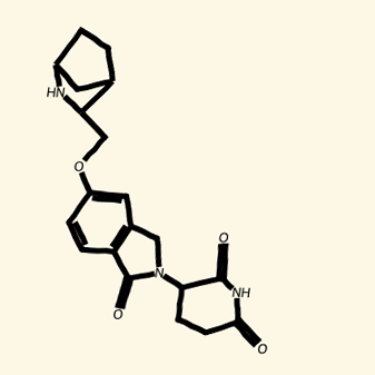 O=C1CCC(N2Cc3cc(OCC4NC5CCC4C5)ccc3C2=O)C(=O)N1